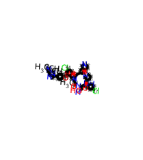 C[C@H]1C(=O)NC(CO)C(=O)N[C@@]2(Cc3ccc(Cl)cc3)CCCN(C2)C(=O)[C@H](Cc2cccnc2)CC(O)N1Cc1ccc(Cl)cc1Oc1ccc(-c2cnc(CN(C)C)n2C)cc1